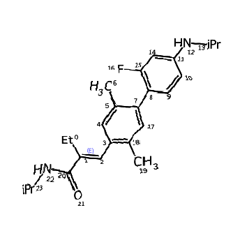 CC/C(=C\c1cc(C)c(-c2ccc(NC(C)C)cc2F)cc1C)C(=O)NC(C)C